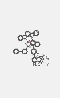 CC1(C)c2cccc(-c3ccc(-c4ccc(-n5c6ccccc6c6ccc7c8ccccc8n(-c8nc(-c9ccccc9)nc(-c9cccc(-c%10ccccc%10)c9)n8)c7c65)cc4)cc3)c2C(C)(C)C1(C)C